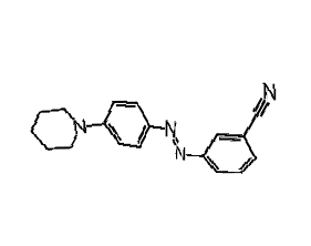 N#Cc1cccc(N=Nc2ccc(N3CCCCC3)cc2)c1